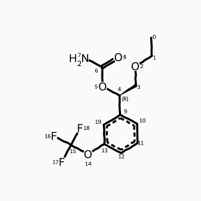 CCOC[C@H](OC(N)=O)c1cccc(OC(F)(F)F)c1